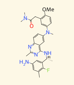 COc1ccc(N(C)c2ccc3nc(C)nc(N[C@H](C)c4cc(N)cc(C)c4F)c3c2)cc1CC(=O)N(C)C